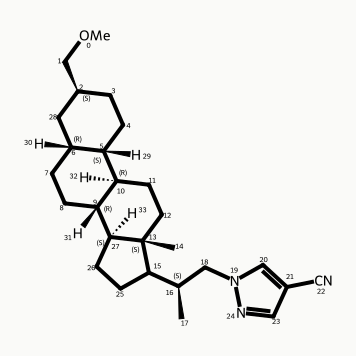 COC[C@H]1CC[C@H]2[C@H](CC[C@@H]3[C@@H]2CC[C@]2(C)C([C@H](C)Cn4cc(C#N)cn4)CC[C@@H]32)C1